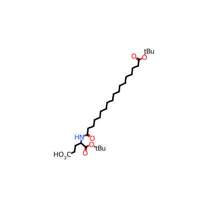 CC(C)(C)OC(=O)CCCCCCCCCCCCCCCCC(=O)NC(CCC(=O)O)C(=O)OC(C)(C)C